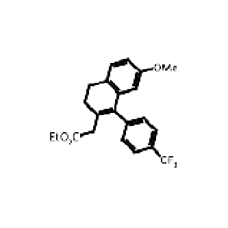 CCOC(=O)CC1=C(c2ccc(C(F)(F)F)cc2)c2cc(OC)ccc2CC1